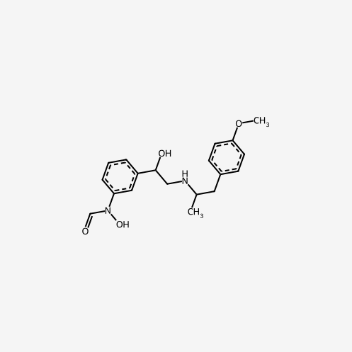 COc1ccc(CC(C)NCC(O)c2cccc(N(O)C=O)c2)cc1